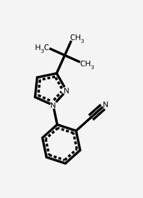 CC(C)(C)c1ccn(-c2ccccc2C#N)n1